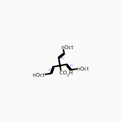 CCCCCCCC/C=C/C(/C=C/CCCCCCCC)(/C=C/CCCCCCCC)C(=O)O